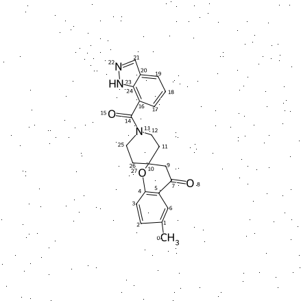 Cc1ccc2c(c1)C(=O)CC1(CCN(C(=O)c3cccc4cn[nH]c34)CC1)O2